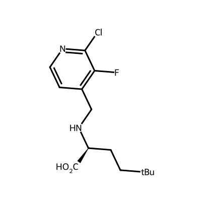 CC(C)(C)CC[C@H](NCc1ccnc(Cl)c1F)C(=O)O